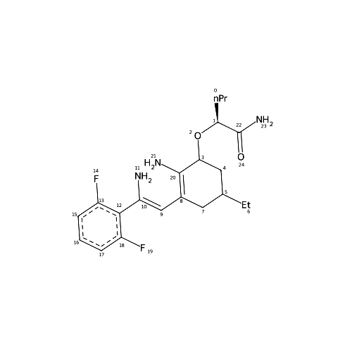 CCC[C@H](OC1CC(CC)CC(/C=C(\N)c2c(F)cccc2F)=C1N)C(N)=O